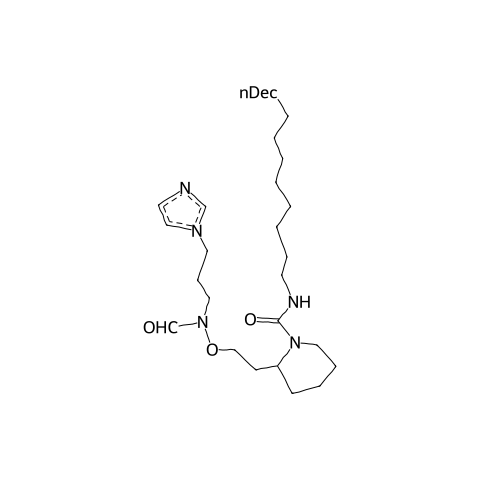 CCCCCCCCCCCCCCCCCCNC(=O)N1CCCCC1CCON(C=O)CCCn1ccnc1